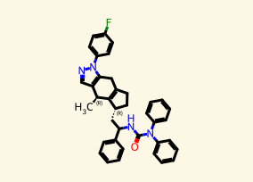 C[C@@H]1C2=C(CC[C@@H]2CC(NC(=O)N(c2ccccc2)c2ccccc2)c2ccccc2)Cc2c1cnn2-c1ccc(F)cc1